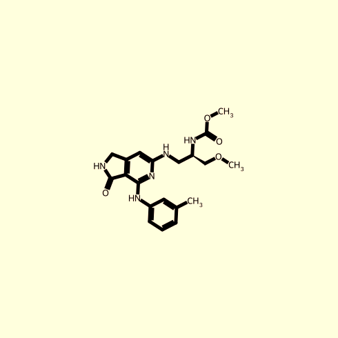 COC[C@@H](CNc1cc2c(c(Nc3cccc(C)c3)n1)C(=O)NC2)NC(=O)OC